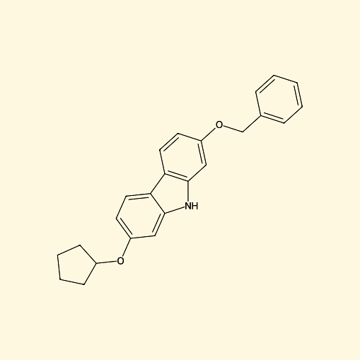 c1ccc(COc2ccc3c(c2)[nH]c2cc(OC4CCCC4)ccc23)cc1